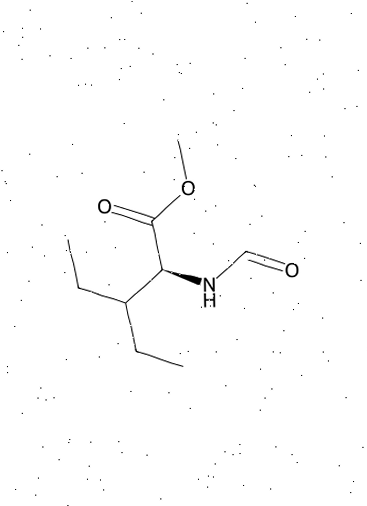 CCC(CC)[C@H](NC=O)C(=O)OC